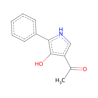 CC(=O)c1c[nH]c(-c2ccccc2)c1O